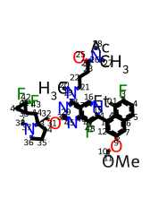 CCc1c(F)ccc2cc(OCOC)cc(-c3ncc4c(N(C)CCCC(=O)N(C)C(C)=O)nc(OC[C@@]56CCCN5C[C@@]5(CC5(F)F)C6)nc4c3F)c12